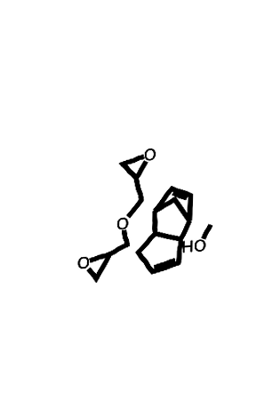 C(OCC1CO1)C1CO1.C1=CC2C3C=CC(C3)C2C1.CO